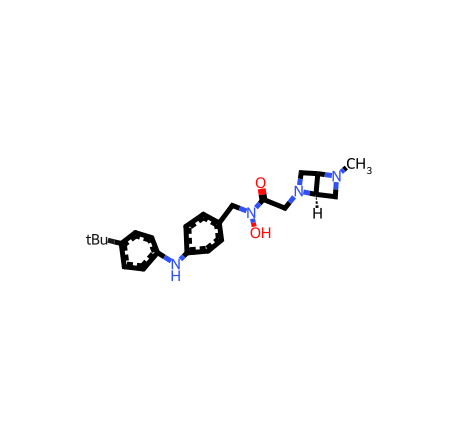 CN1C[C@@H]2C1CN2CC(=O)N(O)Cc1ccc(Nc2ccc(C(C)(C)C)cc2)cc1